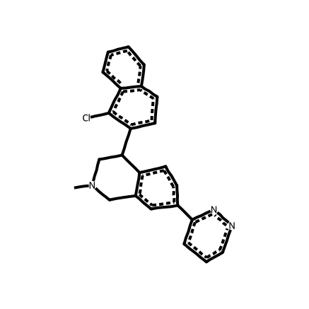 CN1Cc2cc(-c3cccnn3)ccc2C(c2ccc3ccccc3c2Cl)C1